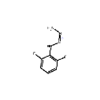 N/N=N\Nc1c(F)cccc1F